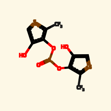 O=S(Oc1c(O)csc1C(F)(F)F)Oc1c(O)csc1C(F)(F)F